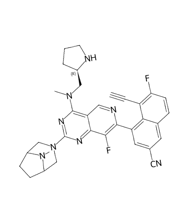 C#Cc1c(F)ccc2cc(C#N)cc(-c3ncc4c(N(C)C[C@H]5CCCN5)nc(N5CC6CCC(C5)N6C)nc4c3F)c12